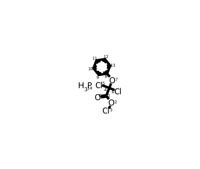 O=C(OCl)C(Cl)(Cl)Oc1ccccc1.P